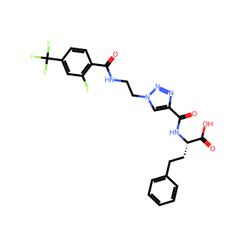 O=C(N[C@@H](CCc1ccccc1)C(=O)O)c1cn(CCNC(=O)c2ccc(C(F)(F)F)cc2F)nn1